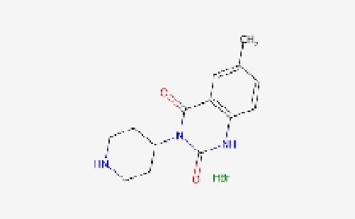 Br.Cc1ccc2[nH]c(=O)n(C3CCNCC3)c(=O)c2c1